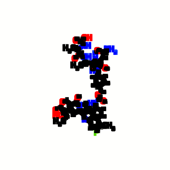 CC[C@@]1(O)C(=O)OCc2c1cc1n(c2=O)Cc2c-1nc1cc(F)c(C)c3c1c2[C@@H](NC(=O)OCc1ccc(NC(=O)C(CC(N)=O)NC(=O)C(C)NC(=O)C(C)NC(=O)O)cc1)CC3